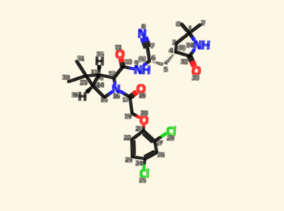 CC1(C)C[C@@H](C[C@@H](C#N)NC(=O)C2[C@@H]3[C@H](CN2C(=O)COc2ccc(Cl)cc2Cl)C3(C)C)C(=O)N1